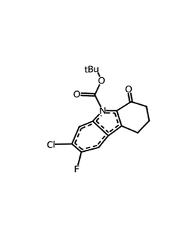 CC(C)(C)OC(=O)n1c2c(c3cc(F)c(Cl)cc31)CCCC2=O